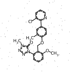 COc1cccc(-n2nnn(C)c2=O)c1COc1ccc(-c2ncccc2Cl)cc1C